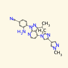 CC(C)c1nn(-c2ccc(C#N)cc2N)c2nccc(-n3cnc(-c4cnn(C)c4)c3)c12